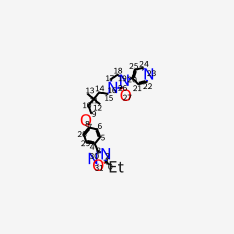 CCc1nc(-c2ccc(OCCC(C)(C)CCN3CCN(c4ccncc4)C3=O)cc2)no1